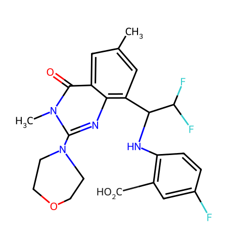 Cc1cc(C(Nc2ccc(F)cc2C(=O)O)C(F)F)c2nc(N3CCOCC3)n(C)c(=O)c2c1